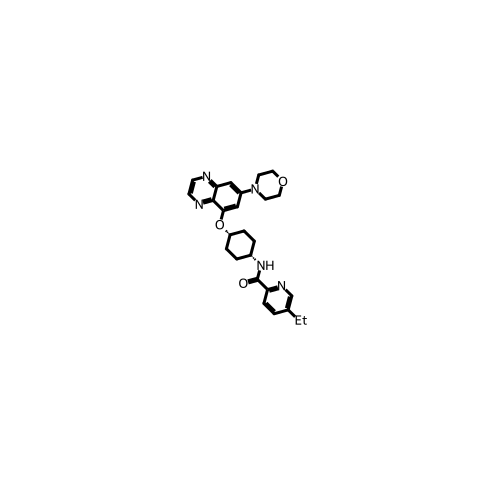 CCc1ccc(C(=O)N[C@H]2CC[C@@H](Oc3cc(N4CCOCC4)cc4nccnc34)CC2)nc1